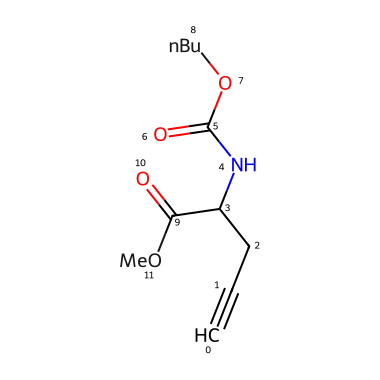 C#CCC(NC(=O)OCCCC)C(=O)OC